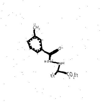 CCOC(=O)C(CC)NNC(=O)c1cccc(C)c1